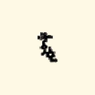 CC(C)(C)[Si](C)(C)OCC1CN(C(=O)c2cc(C=O)ccc2F)C1